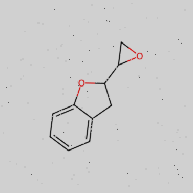 c1ccc2c(c1)CC(C1CO1)O2